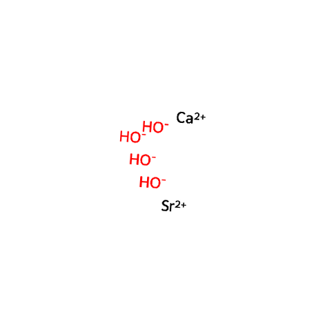 [Ca+2].[OH-].[OH-].[OH-].[OH-].[Sr+2]